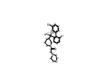 [CH2]CCC(O)(c1cccc(F)c1-c1cccc(CC)c1)C1CCCN(C(=O)CN2CCOCC2)C1